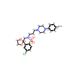 O=S1(=O)c2ccc(Cl)cc2C2(CN1CCCN1CCN(c3ccc(F)cc3)CC1)OCCO2